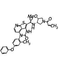 C=CC(=O)N1CC(OC)[C@@H](NC(=O)c2sc3nccc4c3c2NC(=O)N4c2ccc(Oc3ccccc3)cc2C)C1